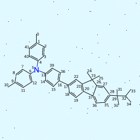 Cc1ccc(N(c2ccc(C)cc2)c2ccc(-c3ccc4c(c3)C(C)(C)c3cc(C(C)(C)C(C)C)ccc3-4)cc2)cc1